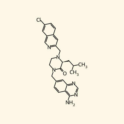 CC(C)C[C@H]1C(=O)N(Cc2ccc3c(N)ncnc3c2)CCN1Cc1cc2ccc(Cl)cc2cn1